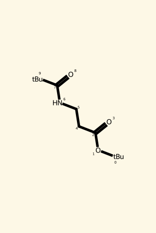 CC(C)(C)OC(=O)CCNC(=O)C(C)(C)C